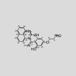 C/N=C(/c1ccc(OCCN=O)cc1O)N(C(=N)S)c1cccc2ccccc12